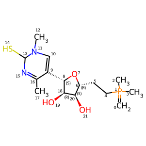 C=P(C)(C)CC[C@H]1O[C@@H](C2=CN(C)C(S)N=C2C)[C@H](O)[C@@H]1O